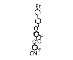 CC[C@H]1CC[C@H]([C@H]2CC[C@H](COc3ccc(C(=O)Oc4ccc(C#N)c(F)c4)c(F)c3)CC2)CC1